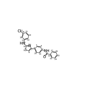 O=C(Nc1ccc(-c2csc(Nc3cccc(Cl)c3)n2)cc1)c1ccccc1